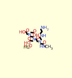 CNC(=O)CN(CCN(CCN(CC(=O)O)CC(=O)O)CC(=O)O)CC(=O)NCCCN.Cl.O